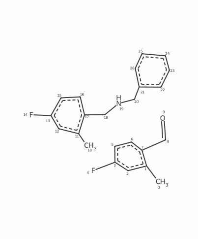 Cc1cc(F)ccc1C=O.Cc1cc(F)ccc1CNCc1ccccc1